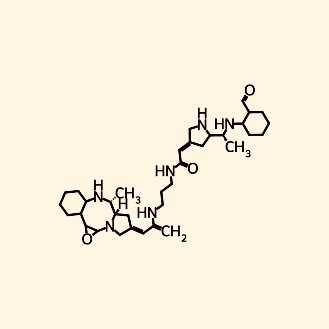 C=C(/C=C1\C[C@H]2[C@@H](C)NC3CCCCC3C3OC3N2C1)NCCCNC(=O)/C=C1/CNC([C@H](C)NC2CCCCC2C=O)C1